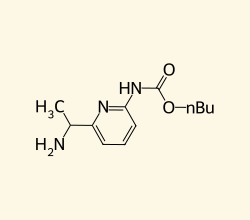 CCCCOC(=O)Nc1cccc(C(C)N)n1